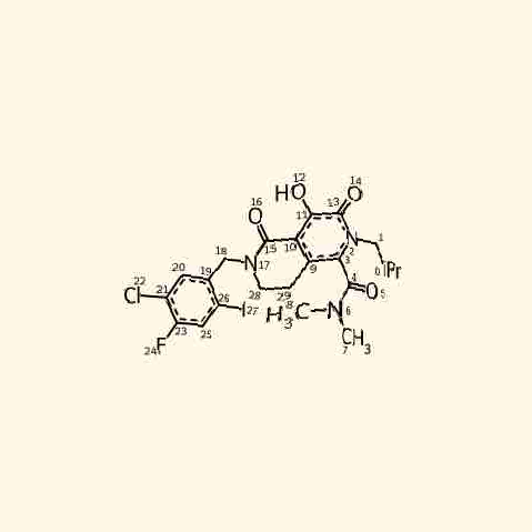 CC(C)Cn1c(C(=O)N(C)C)c2c(c(O)c1=O)C(=O)N(Cc1cc(Cl)c(F)cc1I)CC2